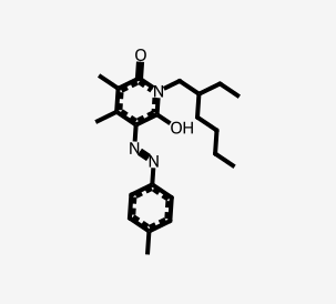 CCCCC(CC)Cn1c(O)c(/N=N/c2ccc(C)cc2)c(C)c(C)c1=O